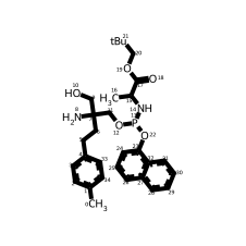 Cc1ccc(CCC(N)(CO)COP(NC(C)C(=O)OCC(C)(C)C)Oc2cccc3ccccc23)cc1